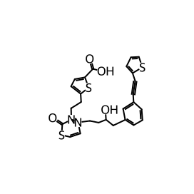 O=C(O)c1ccc(CCN2C(=O)SC=CN2CCC(O)Cc2cccc(C#Cc3cccs3)c2)s1